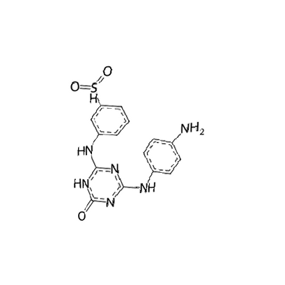 Nc1ccc(Nc2nc(Nc3cccc([SH](=O)=O)c3)[nH]c(=O)n2)cc1